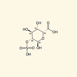 O=C(O)[C@@H]1O[C@@H](O)[C@H](OS(=O)(=O)O)[C@@H](O)[C@@H]1O